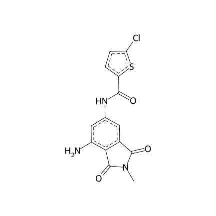 CN1C(=O)c2cc(NC(=O)c3ccc(Cl)s3)cc(N)c2C1=O